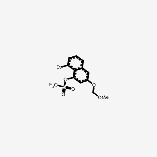 CCc1cccc2cc(OCOC)cc(OS(=O)(=O)C(F)(F)F)c12